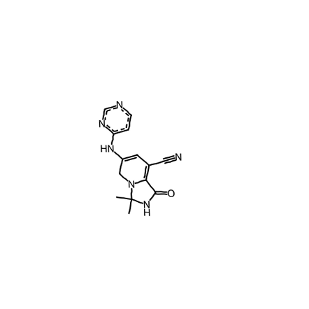 CC1(C)NC(=O)C2=C(C#N)C=C(Nc3ccncn3)CN21